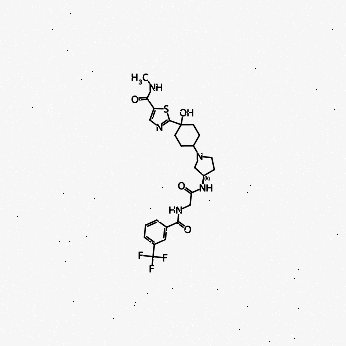 CNC(=O)c1cnc(C2(O)CCC(N3CC[C@@H](NC(=O)CNC(=O)c4cccc(C(F)(F)F)c4)C3)CC2)s1